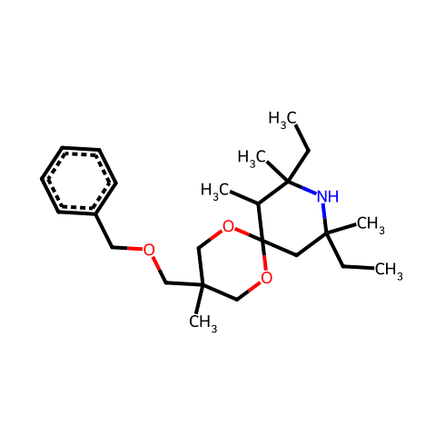 CCC1(C)CC2(OCC(C)(COCc3ccccc3)CO2)C(C)C(C)(CC)N1